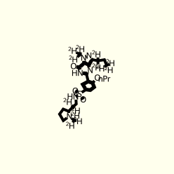 [2H]C([2H])([2H])CC([2H])([2H])c1nn(C([2H])([2H])[2H])c2c(=O)[nH]c(-c3cc(S(=O)(=O)NCC([2H])([2H])C4CCCN4C([2H])([2H])[2H])ccc3OCCC)nc12